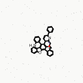 C=C/C=C1/N=C(c2ccccc2)C=CC1c1c(-c2ccccc2N)c2c3ccccc3oc2c2c1sc1ccccc12